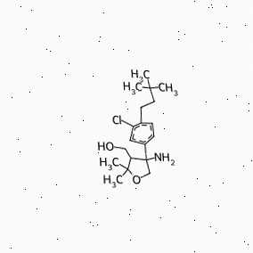 CC(C)(C)CCc1ccc(C2(N)COC(C)(C)C2CO)cc1Cl